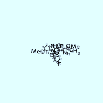 COc1ccc2nc([S+]([O-])Cc3ncc(C)c(OC)c3C)n(S(=O)(=O)c3ccc(F)cc3)c2c1